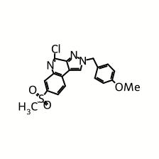 COc1ccc(Cn2cc3c(n2)c(Cl)nc2cc(S(C)(=O)=O)ccc23)cc1